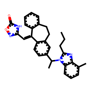 CCCc1nc2c(C)cccc2n1C(C)c1ccc2c(c1)CCc1ccccc1C2=Cc1noc(=O)[nH]1